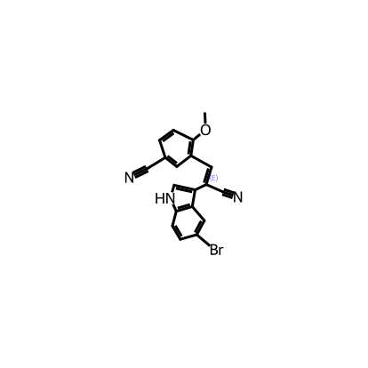 COc1ccc(C#N)cc1/C=C(/C#N)c1c[nH]c2ccc(Br)cc12